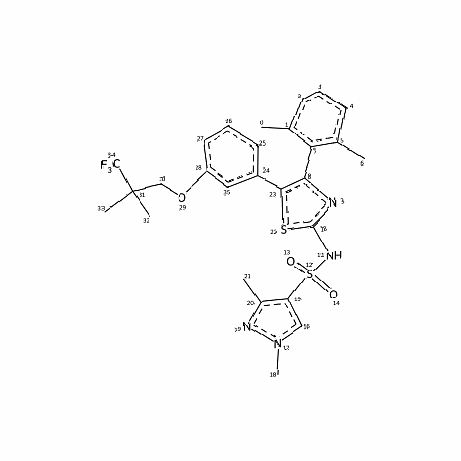 Cc1cccc(C)c1-c1nc(NS(=O)(=O)c2cn(C)nc2C)sc1-c1cccc(OCC(C)(C)C(F)(F)F)c1